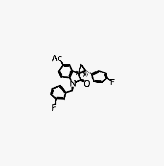 CC(=O)c1ccc2c(c1)[C@@]1(C[C@@H]1c1ccc(F)cc1)C(=O)N2Cc1cccc(F)c1